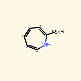 [SeH]C1=CC=CC=CN1